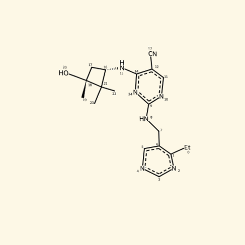 CCc1ncncc1CNc1ncc(C#N)c(N[C@H]2C[C@@](C)(O)C2(C)C)n1